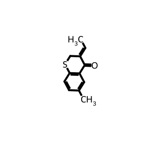 C/C=C1\CSc2ccc(C)cc2C1=O